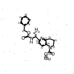 CC(NC(=O)OCc1ccccc1)c1ccc2c(n1)CCCN2C(=O)OC(C)(C)C